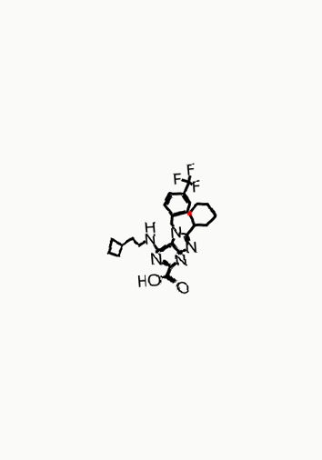 O=C(O)c1nc(NCCC2CCC2)c2c(n1)nc(C1CCCCC1)n2Cc1ccc(C(F)(F)F)cc1